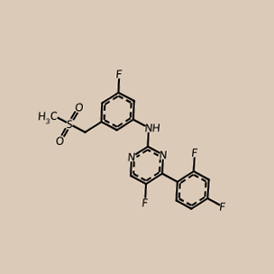 CS(=O)(=O)Cc1cc(F)cc(Nc2ncc(F)c(-c3ccc(F)cc3F)n2)c1